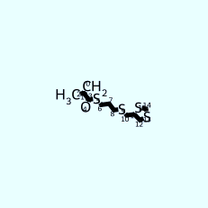 C=C(C)C(=O)SCCCSCC1CSCS1